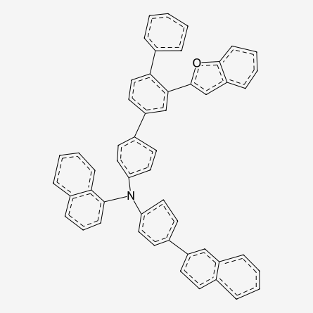 c1ccc(-c2ccc(-c3ccc(N(c4ccc(-c5ccc6ccccc6c5)cc4)c4cccc5ccccc45)cc3)cc2-c2cc3ccccc3o2)cc1